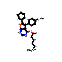 COc1ccc(-c2c(-c3ccccc3)oc3ncnc(OC(C)CCCCC(=O)O)c23)cc1